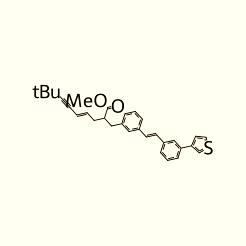 COC(=O)C(C/C=C/C#CC(C)(C)C)Cc1cccc(/C=C/c2cccc(-c3ccsc3)c2)c1